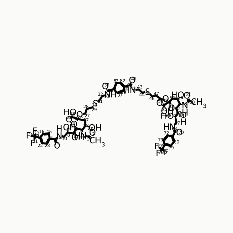 CC(=O)N[C@H]1[C@H]([C@H](O)[C@H](O)CNC(=O)c2ccc(C(F)(F)F)cc2)O[C@@](OCCCSCCNC(=O)c2ccc(C(=O)NCCSCCCO[C@]3(C(=O)O)C[C@H](O)[C@@H](NC(C)=O)[C@H]([C@H](O)[C@H](O)CNC(=O)c4ccc(C(F)(F)F)cc4)O3)cc2)(C(=O)O)C[C@@H]1O